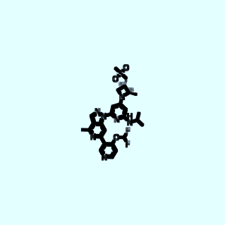 Cc1nc(-c2cnccc2OC(F)F)cc2c1cnn2-c1cc(N2C[C@H](CS(C)(=O)=O)[C@H]2C)cc(NC(C)C)n1